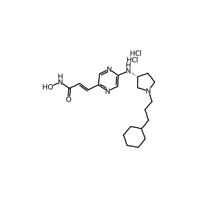 Cl.Cl.O=C(C=Cc1cnc(N[C@@H]2CCN(CCCC3CCCCC3)C2)cn1)NO